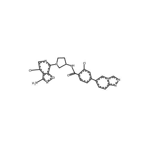 Nc1noc2c(N3CCC(NC(=O)c4ccc(-c5ccc6nncn6c5)cc4Cl)C3)ncc(Cl)c12